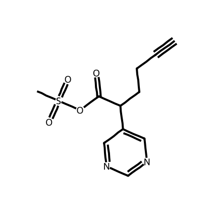 C#CCCC(C(=O)OS(C)(=O)=O)c1cncnc1